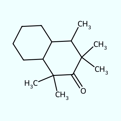 CC1C2CCCCC2C(C)(C)C(=O)C1(C)C